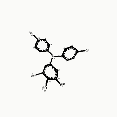 CC(C)(C)c1cc(N(c2ccc(Cl)cc2)c2ccc(Cl)cc2)cc(C(C)(C)C)c1O